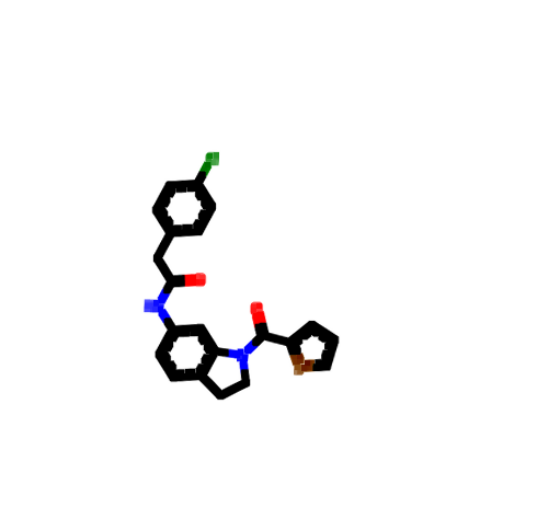 O=C(Cc1ccc(Cl)cc1)Nc1ccc2c(c1)N(C(=O)c1cccs1)CC2